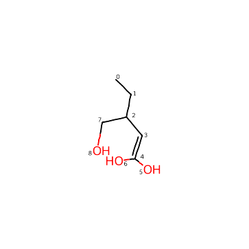 CCC(C=C(O)O)CO